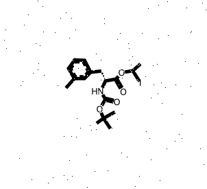 Cc1cccc(C[C@@H](NC(=O)OC(C)(C)C)C(=O)OC(C)I)c1